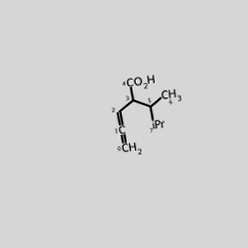 C=C=CC(C(=O)O)C(C)C(C)C